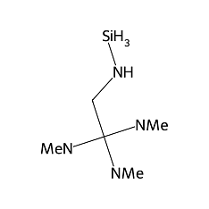 CNC(CN[SiH3])(NC)NC